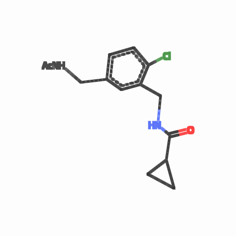 CC(=O)NCc1ccc(Cl)c(CNC(=O)C2CC2)c1